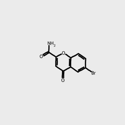 NC(=O)c1cc(=O)c2cc(Br)ccc2o1